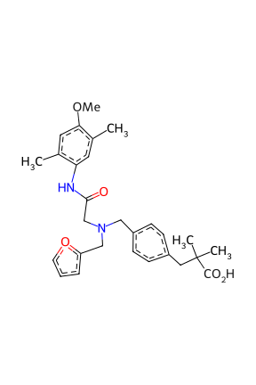 COc1cc(C)c(NC(=O)CN(Cc2ccc(CC(C)(C)C(=O)O)cc2)Cc2ccco2)cc1C